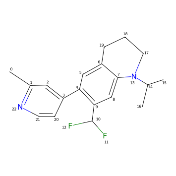 Cc1cc(-c2cc3c(cc2C(F)F)N(C(C)C)CCC3)ccn1